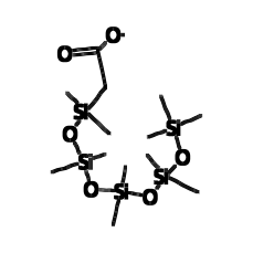 C[Si](C)(C)O[Si](C)(C)O[Si](C)(C)O[Si](C)(C)O[Si](C)(C)CC([O])=O